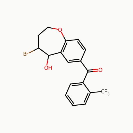 O=C(c1ccc2c(c1)C(O)C(Br)CCO2)c1ccccc1C(F)(F)F